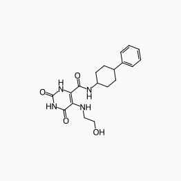 O=C(NC1CCC(c2ccccc2)CC1)c1[nH]c(=O)[nH]c(=O)c1NCCO